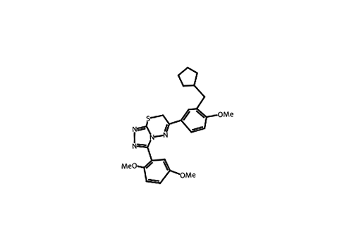 COc1ccc(OC)c(-c2nnc3n2N=C(c2ccc(OC)c(CC4CCCC4)c2)CS3)c1